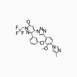 COc1cc(-c2cn(-c3cc(=O)n(CC(F)(F)F)nc3-c3cccc(Cl)c3)nn2)ccc1-n1cnc(C)c1